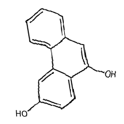 Oc1ccc2c(O)cc3ccccc3c2c1